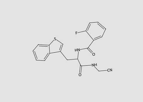 N#CCNC(=O)C(Cc1csc2ccccc12)NC(=O)c1ccccc1F